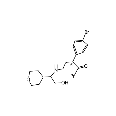 CC(C)C(=O)[C@H](CCNC(CO)C1CCOCC1)c1ccc(Br)cc1